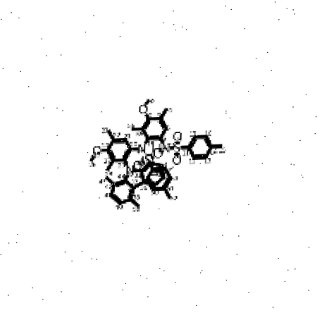 COc1c(C)cc(NS(=O)(=O)c2ccc(C)cc2)c(N(c2cc(C)c(OC)c(C)c2-n2c3ccccc3c3c(C)ccc(C)c32)S(=O)(=O)c2ccc(C)cc2)c1C